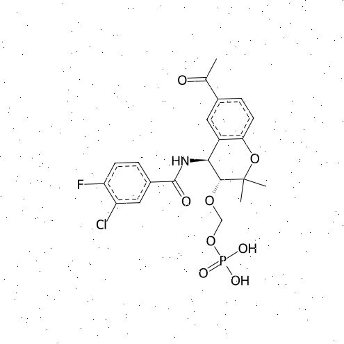 CC(=O)c1ccc2c(c1)[C@H](NC(=O)c1ccc(F)c(Cl)c1)[C@@H](OCOP(=O)(O)O)C(C)(C)O2